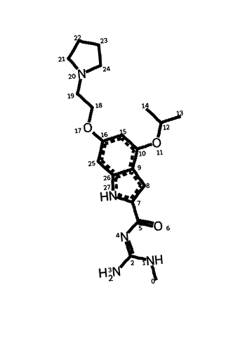 CNC(N)=NC(=O)c1cc2c(OC(C)C)cc(OCCN3CCCC3)cc2[nH]1